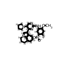 COc1cc(F)c([N+](=O)[O-])cc1Nc1ncc(N2CCCC2)c(-c2cn3c4c(cccc24)CCC3)n1